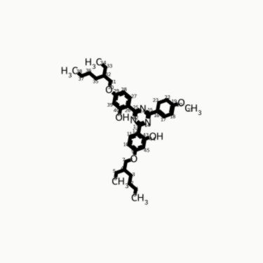 CCCCC(CC)COc1ccc(-c2nc(C3=CC=C(OC)CC3)nc(-c3ccc(OCC(CC)CCCC)cc3O)n2)c(O)c1